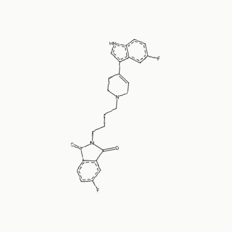 O=C1c2ccc(F)cc2C(=O)N1CCCCN1CC=C(c2c[nH]c3ccc(F)cc23)CC1